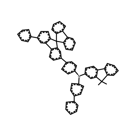 CC1(C)c2ccccc2-c2ccc(N(c3ccc(-c4ccccc4)cc3)c3ccc(-c4ccc5c(c4)C4(c6ccccc6-c6ccccc64)c4ccc(-c6ccccc6)cc4-5)cc3)cc21